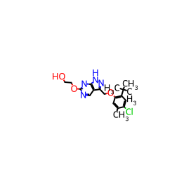 Cc1cc(OCc2n[nH]c3nc(OCCO)ncc23)c(C(C)(C)C)cc1Cl